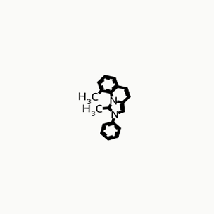 Cc1cccc2c1N1C(=CN(c3ccccc3)C1C)C=C2